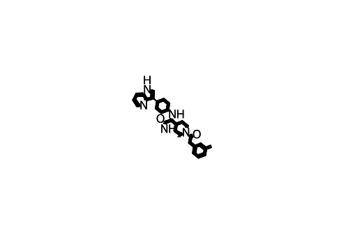 Cc1cccc(CC(=O)N2CCC(C(N[C@H]3CC[C@H](c4c[nH]c5cccnc54)CC3)C(N)=O)CC2)c1